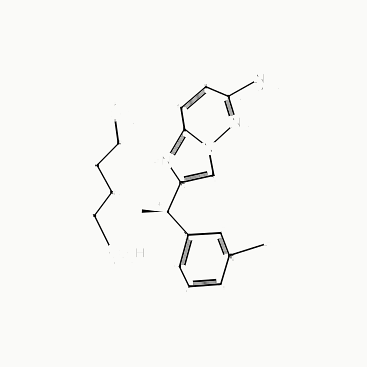 C[C@H](c1cccc(F)c1)c1cn2nc(N)ccc2n1.O=C(O)CCCCC(=O)O